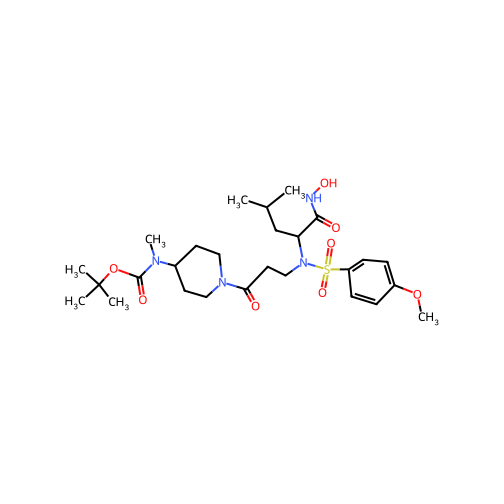 COc1ccc(S(=O)(=O)N(CCC(=O)N2CCC(N(C)C(=O)OC(C)(C)C)CC2)C(CC(C)C)C(=O)NO)cc1